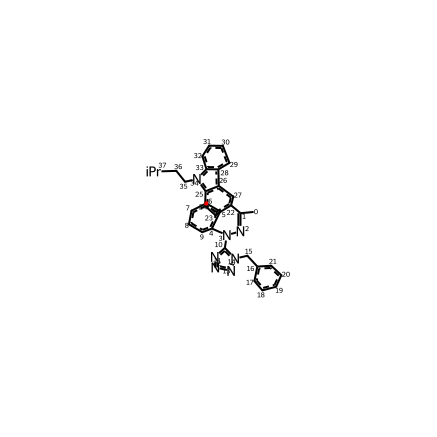 C/C(=N/N(c1ccccc1)c1nnnn1Cc1ccccc1)c1ccc2c(c1)c1ccccc1n2CCC(C)C